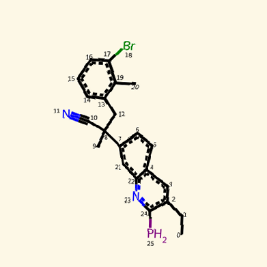 CCc1cc2ccc(C(C)(C#N)Cc3cccc(Br)c3C)cc2nc1P